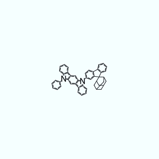 c1ccc(-n2c3ccccc3c3cc4c(cc32)c2ccccc2n4-c2ccc3c(c2)C2(c4ccccc4-3)C3CC4CC(C3)CC2C4)cc1